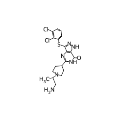 CC(CN)N1CCC(c2nc3c(Sc4cccc(Cl)c4Cl)n[nH]c3c(=O)[nH]2)CC1